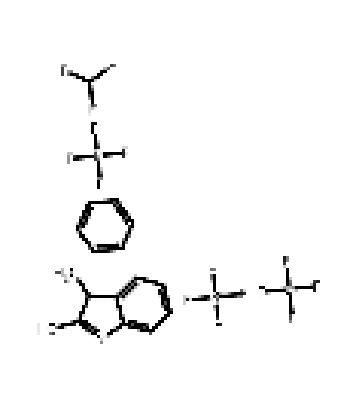 CC1=Nc2ccccc2C1C.FC(F)F.F[B-](F)(F)F.F[B-](F)(F)F.F[B-](F)(F)F.c1ccccc1